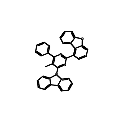 Cc1c(-c2ccccc2)nc(-c2cccc3oc4ccccc4c23)nc1-n1c2ccccc2c2ccccc21